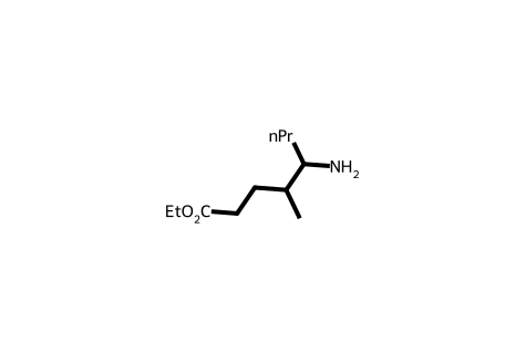 CCCC(N)C(C)CCC(=O)OCC